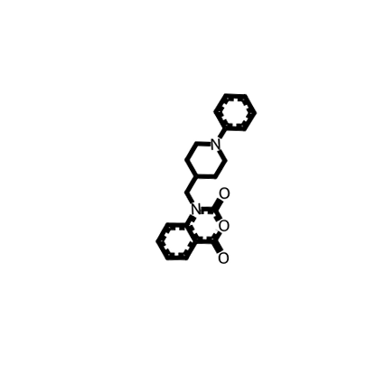 O=c1oc(=O)n(CC2CCN(c3ccccc3)CC2)c2ccccc12